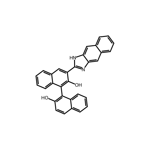 Oc1ccc2ccccc2c1-c1c(O)c(-c2nc3cc4ccccc4cc3[nH]2)cc2ccccc12